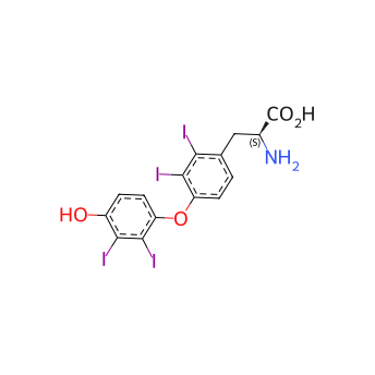 N[C@@H](Cc1ccc(Oc2ccc(O)c(I)c2I)c(I)c1I)C(=O)O